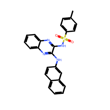 Cc1ccc(S(=O)(=O)Nc2nc3ccccc3nc2Nc2ccc3ccccc3c2)cc1